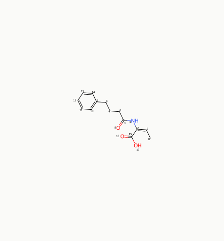 C/C=C(/NC(=O)CCCc1ccccc1)C(=O)O